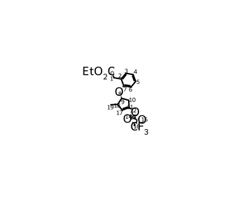 CCOC(=O)Cc1ccccc1O[C@@H]1CC(OS(=O)(=O)C(F)(F)F)=CC1C